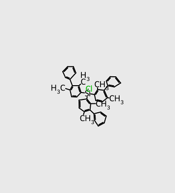 Cc1ccc([Si](Cl)(c2ccc(C)c(-c3ccccc3)c2C)c2ccc(C)c(-c3ccccc3)c2C)c(C)c1-c1ccccc1